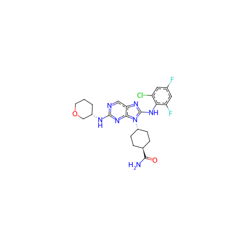 NC(=O)[C@H]1CC[C@H](n2c(Nc3c(F)cc(F)cc3Cl)nc3cnc(N[C@H]4CCCOC4)nc32)CC1